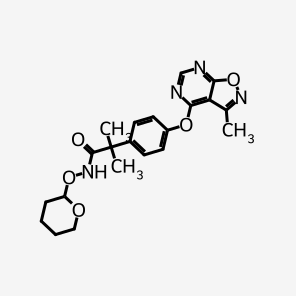 Cc1noc2ncnc(Oc3ccc(C(C)(C)C(=O)NOC4CCCCO4)cc3)c12